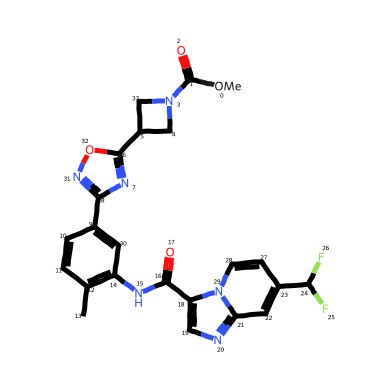 COC(=O)N1CC(c2nc(-c3ccc(C)c(NC(=O)c4cnc5cc(C(F)F)ccn45)c3)no2)C1